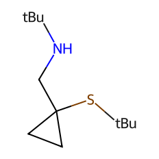 CC(C)(C)NCC1(SC(C)(C)C)CC1